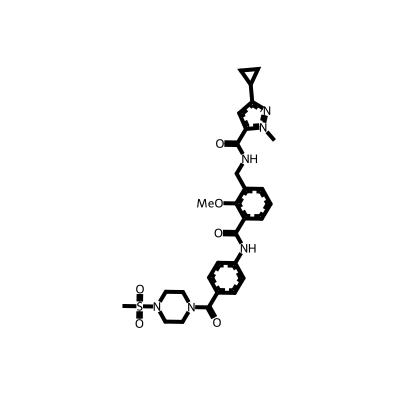 COc1c(CNC(=O)c2cc(C3CC3)nn2C)cccc1C(=O)Nc1ccc(C(=O)N2CCN(S(C)(=O)=O)CC2)cc1